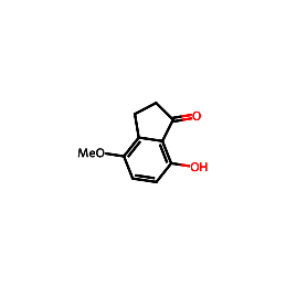 COc1ccc(O)c2c1CCC2=O